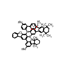 CC(C)(C)c1ccc(N2c3cc4c(cc3B3c5c(cc6c(oc7ccccc76)c52)-c2cc(C(C)(C)C)cc5c2N3C2(C)CCCCC52C)-c2cc3c(cc2C4(C)C)C(C)(C)CCC3(C)C)c(-c2ccccc2)c1